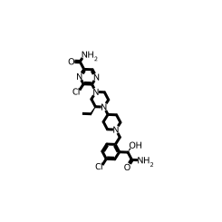 CC[C@H]1CN(c2ncc(C(N)=O)nc2Cl)CCN1C1CCN(Cc2ccc(Cl)cc2[C@H](O)C(N)=O)CC1